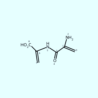 C=C(N)C(=O)NC(=C)C(=O)O